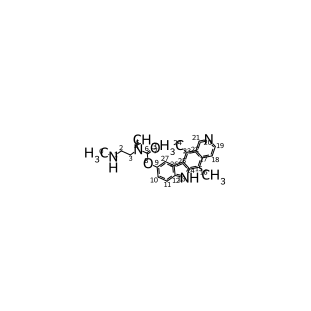 CNCCN(C)C(=O)Oc1ccc2[nH]c3c(C)c4ccncc4c(C)c3c2c1